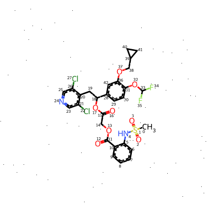 CS(=O)(=O)Nc1ccccc1C(=O)OCC(=O)OC(Cc1c(Cl)cncc1Cl)c1ccc(OC(F)F)c(OCC2CC2)c1